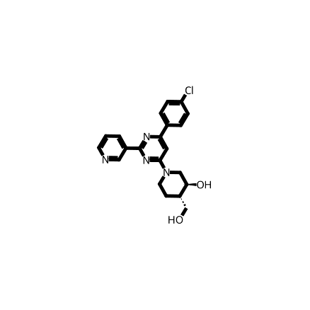 OC[C@@H]1CCN(c2cc(-c3ccc(Cl)cc3)nc(-c3cccnc3)n2)C[C@H]1O